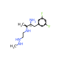 C=C(NCCNNC)[C@@H](N)Cc1cc(F)cc(F)c1